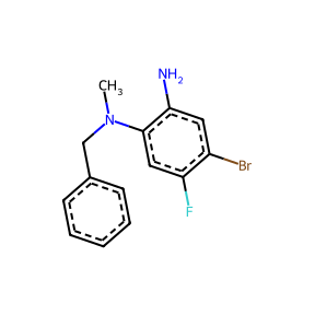 CN(Cc1ccccc1)c1cc(F)c(Br)cc1N